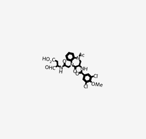 COc1c(Cl)cc(C(=O)NC2CN(C(C)=O)c3ccccc3N(CC(=O)NC(C=O)CC(=O)O)C2=O)cc1Cl